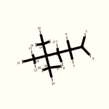 I[C](I)C(I)(I)C(I)(I)C(C(I)(I)I)(C(I)(I)I)C(I)(I)I